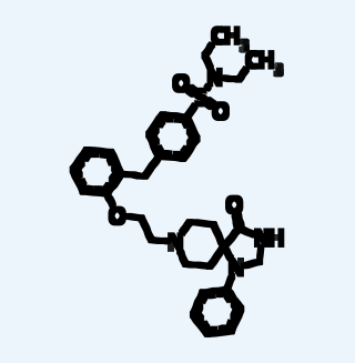 CCN(CC)S(=O)(=O)c1ccc(Cc2ccccc2OCCN2CCC3(CC2)C(=O)NCN3c2ccccc2)cc1